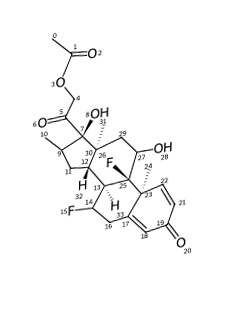 CC(=O)OCC(=O)[C@@]1(O)C(C)C[C@H]2[C@@H]3C(F)CC4=CC(=O)C=C[C@]4(C)[C@@]3(F)C(O)C[C@@]21C